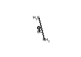 CCCCCCCCCCCCCCCCCCN.O=C(Cl)c1ccccc1